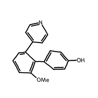 COc1cccc(-c2ccncc2)c1-c1ccc(O)cc1